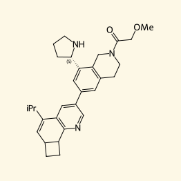 COCC(=O)N1CCc2cc(-c3cnc4c(c3)C(C(C)C)=CC3CCC43)cc([C@@H]3CCCN3)c2C1